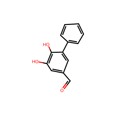 O=Cc1cc(O)c(O)c(-c2ccccc2)c1